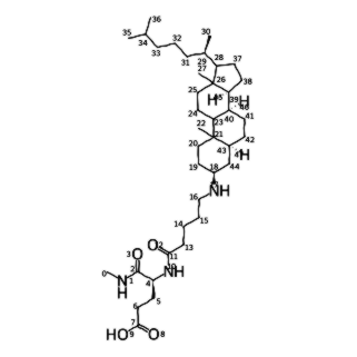 CNC(=O)[C@H](CCC(=O)O)NC(=O)CCCCN[C@H]1CCC2(C)C3CCC4(C)C([C@H](C)CCCC(C)C)CC[C@H]4[C@H]3CC[C@H]2C1